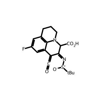 CC(C)(C)[S+]([O-])N=C1C(=C=O)c2cc(F)cc3c2N(CCC3)C1C(=O)O